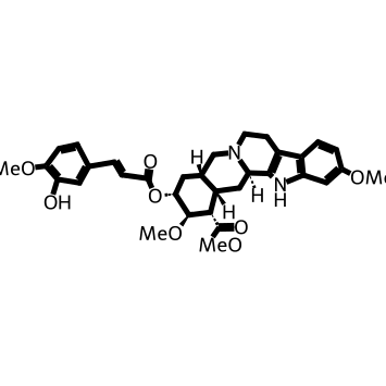 COC(=O)[C@H]1[C@H]2C[C@@H]3c4[nH]c5cc(OC)ccc5c4CCN3C[C@H]2C[C@@H](OC(=O)/C=C/c2ccc(OC)c(O)c2)[C@@H]1OC